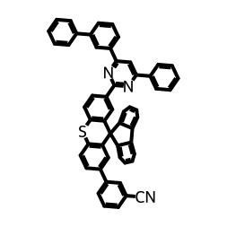 N#Cc1cccc(-c2ccc3c(c2)C2(c4cc(-c5nc(-c6ccccc6)cc(-c6cccc(-c7ccccc7)c6)n5)ccc4S3)c3ccccc3-c3ccccc32)c1